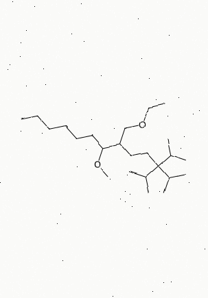 CCCCCCC(OC)C(CCC(C(C)C)(C(C)C)C(C)C)COCC